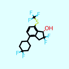 O[C@H]1c2c(SC(F)(F)F)ccc(C3CCC(F)(F)CC3)c2CC1(F)F